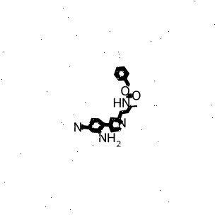 C[C@@H](CCc1cc(-c2ccc(C#N)cc2N)ccn1)NC(=O)OCc1ccccc1